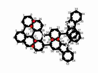 c1ccc(-c2cccc3cccc(-c4ccccc4N(c4ccc(-c5cccc6c5sc5ccccc56)cc4)c4ccccc4-c4ccc5c(c4)c4ccccc4n5-c4ccccc4)c23)cc1